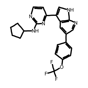 FC(F)(F)Oc1ccc(-c2cnc3[nH]cc(-c4ccnc(NC5CCCC5)n4)c3c2)cc1